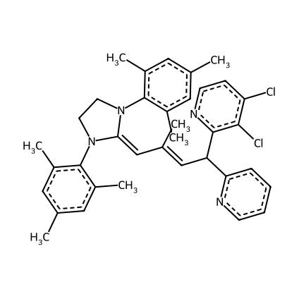 CC(=CC(c1ccccn1)c1nccc(Cl)c1Cl)C=C1N(c2c(C)cc(C)cc2C)CCN1c1c(C)cc(C)cc1C